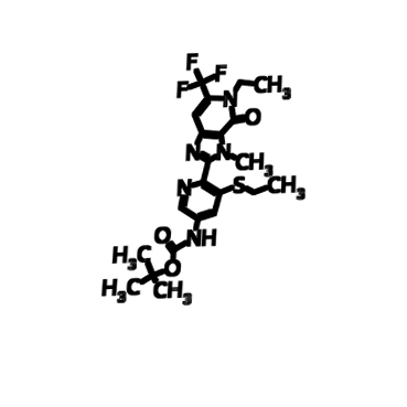 CCSc1cc(NC(=O)OC(C)(C)C)cnc1-c1nc2cc(C(F)(F)F)n(CC)c(=O)c2n1C